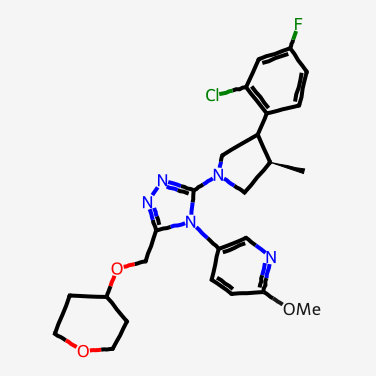 COc1ccc(-n2c(COC3CCOCC3)nnc2N2CC(c3ccc(F)cc3Cl)[C@@H](C)C2)cn1